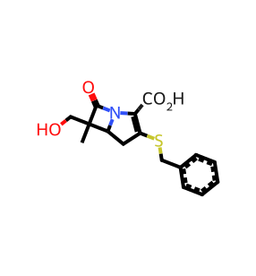 CC1(CO)C(=O)N2C(C(=O)O)=C(SCc3ccccc3)CC21